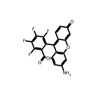 Nc1ccc2c(-c3c(F)c(F)c(F)c(F)c3C(=O)O)c3ccc(=O)cc-3oc2c1